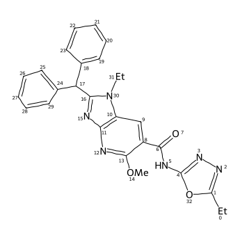 CCc1nnc(NC(=O)c2cc3c(nc2OC)nc(C(c2ccccc2)c2ccccc2)n3CC)o1